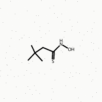 CC(C)(C)CC(=S)NO